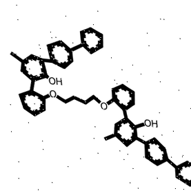 Cc1cc(-c2ccc(-c3ccccc3)cc2)c(O)c(-c2ccccc2OCCCCOc2ccccc2-c2cc(C)cc(-c3ccc(-c4ccccc4)cc3)c2O)c1